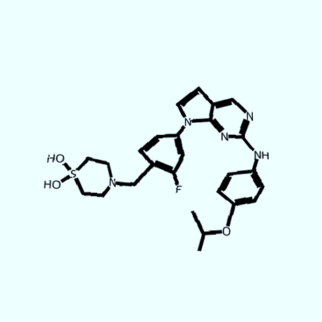 CC(C)Oc1ccc(Nc2ncc3ccn(-c4ccc(CN5CCS(O)(O)CC5)c(F)c4)c3n2)cc1